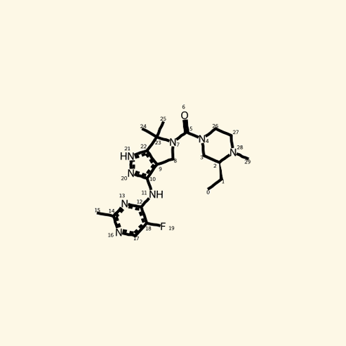 CC[C@H]1CN(C(=O)N2Cc3c(Nc4nc(C)ncc4F)n[nH]c3C2(C)C)CCN1C